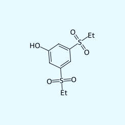 CCS(=O)(=O)c1cc(O)cc(S(=O)(=O)CC)c1